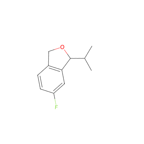 CC(C)C1OCc2ccc(F)cc21